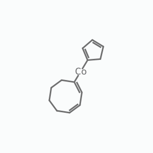 C1=CCCCC[C]([Co][C]2=CC=CC2)=C1